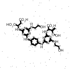 C=C(OO)C(Nc1nc(NCCO)nc(Nc2ccc(Nc3nc(NCCO)nc(NC(CC(=O)O)C(=O)O)n3)cc2)n1)C(=O)O